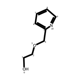 OCCOCc1ccccn1